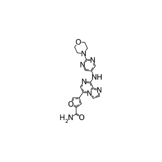 NC(=O)c1cc(-c2cnc(Nc3cnc(N4CCOCC4)nc3)c3nccn23)co1